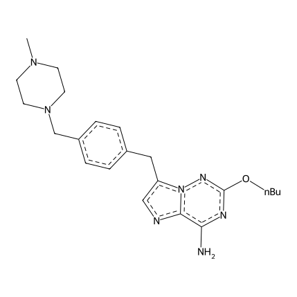 CCCCOc1nc(N)c2ncc(Cc3ccc(CN4CCN(C)CC4)cc3)n2n1